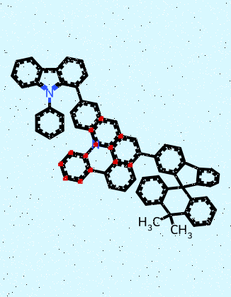 CC1(C)c2ccccc2C2(c3ccccc3-c3ccc(-c4ccc(N(c5ccc(-c6cccc7c8ccccc8n(-c8ccccc8)c67)cc5)c5ccccc5-c5ccccc5-c5ccccc5-c5ccccc5)cc4)cc32)c2ccccc21